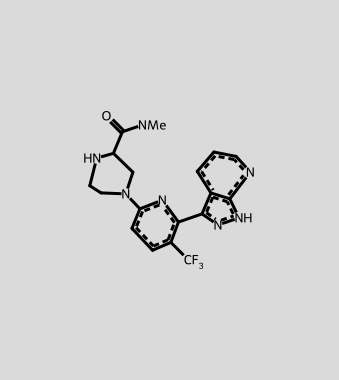 CNC(=O)C1CN(c2ccc(C(F)(F)F)c(-c3n[nH]c4ncccc34)n2)CCN1